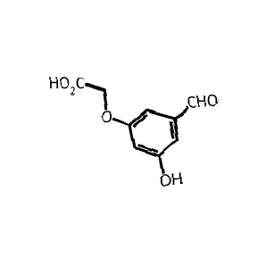 O=Cc1cc(O)cc(OCC(=O)O)c1